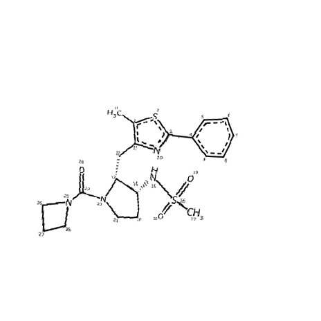 Cc1sc(-c2ccccc2)nc1C[C@@H]1[C@H](NS(C)(=O)=O)CCN1C(=O)N1CCC1